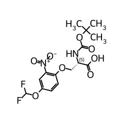 CC(C)(C)OC(=O)N[C@@H](COc1ccc(OC(F)F)cc1[N+](=O)[O-])C(=O)O